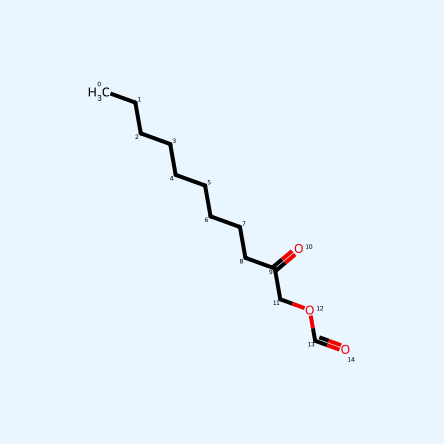 CCCCCCCCCC(=O)COC=O